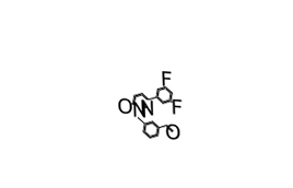 O=Cc1cccc(Cn2nc(-c3cc(F)cc(F)c3)ccc2=O)c1